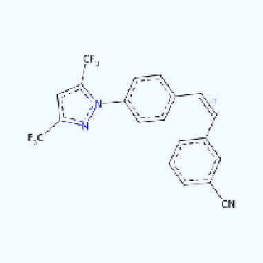 N#Cc1cccc(/C=C\c2ccc(-n3nc(C(F)(F)F)cc3C(F)(F)F)cc2)c1